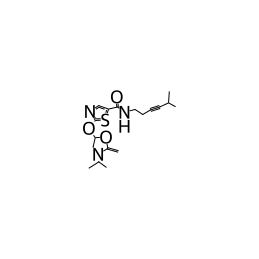 C=C1OC(Oc2ncc(C(=O)NCCC#CC(C)C)s2)CN1C(C)C